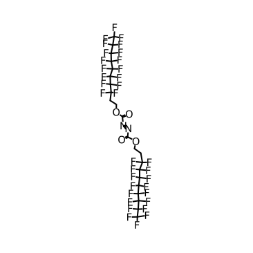 O=C(N=NC(=O)OCCC(F)(F)C(F)(F)C(F)(F)C(F)(F)C(F)(F)C(F)(F)C(F)(F)C(F)(F)F)OCCC(F)(F)C(F)(F)C(F)(F)C(F)(F)C(F)(F)C(F)(F)C(F)(F)C(F)(F)F